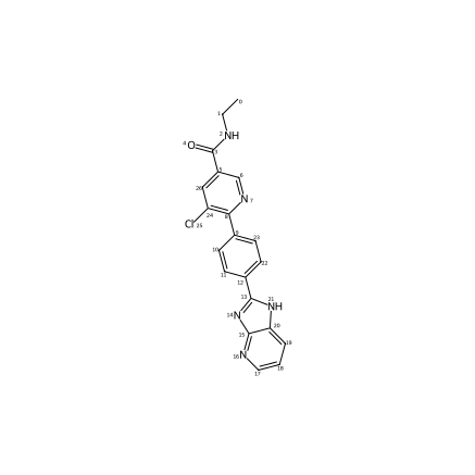 CCNC(=O)c1cnc(-c2ccc(-c3nc4ncccc4[nH]3)cc2)c(Cl)c1